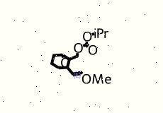 CO/C=C/C1C2CCC(O2)C1COC(=O)OC(C)C